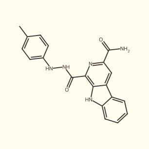 Cc1ccc(NNC(=O)c2nc(C(N)=O)cc3c2[nH]c2ccccc23)cc1